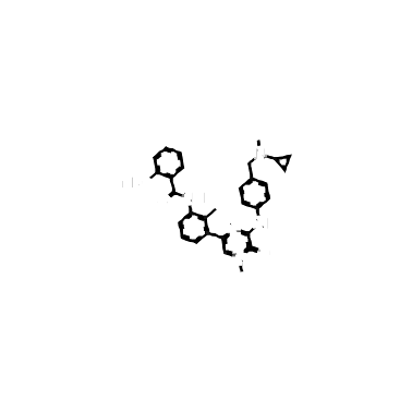 CCCCc1ccccc1C(=O)Nc1cccc(-c2cn(C)c(=O)c(Nc3ccc(CN(C)C4CC4)cc3)n2)c1C